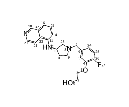 OCCOc1cc(CN2CCC(Nc3cccc4cnccc34)C2)ccc1F